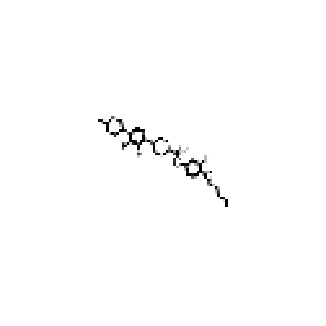 C=CCCCOc1ccc(OC(=O)C2CCC(c3ccc(C4CCC(C)CC4)c(F)c3F)CC2)cc1F